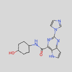 O=C(NC1CCC(O)CC1)c1nc(-n2ccnc2)nc2cc[nH]c12